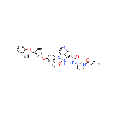 C=CC(=O)N1CCC[C@@H](NC(=O)c2sc3nccc4c3c2NC(=O)N4c2ccc(Oc3cccc(COc4ccccc4C#N)c3)cc2C)C1